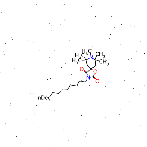 CCCCCCCCCCCCCCCCCCN1C(=O)OC2(CC(C)(C)N(C)C(C)(C)C2)C1=O